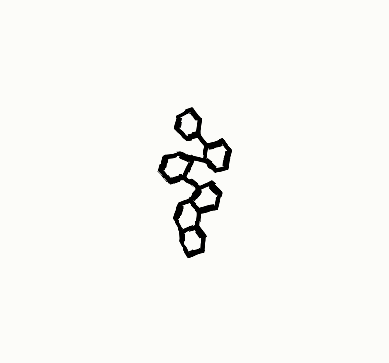 c1ccc(-c2ccccc2-c2ccccc2-c2cccc3c2ccc2ccccc23)cc1